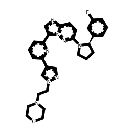 Fc1cccc([C@H]2CCCN2c2ccc3ncc(-c4cccc(-c5cnn(CCN6CCOCC6)c5)n4)n3n2)c1